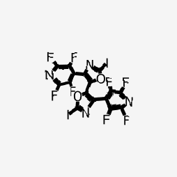 Fc1nc(F)c(F)c(-c2nc(I)oc2-c2oc(I)nc2-c2c(F)c(F)nc(F)c2F)c1F